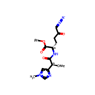 CO[C@H](C(=O)N[C@@H](CCC(=O)C=[N+]=[N-])C(=O)OC(C)C)c1cn(C)cn1